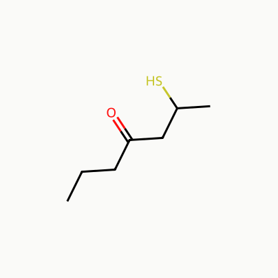 CCCC(=O)CC(C)S